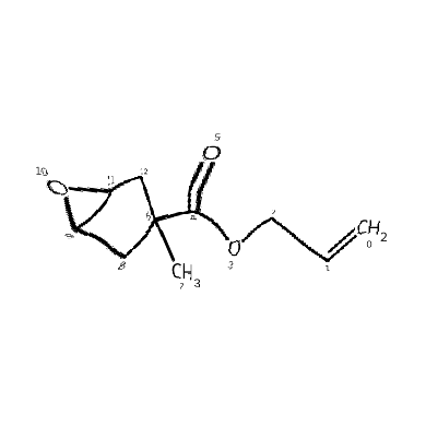 C=CCOC(=O)C1(C)CC2OC2C1